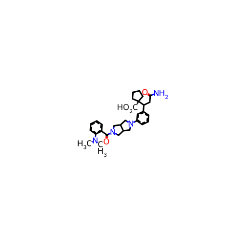 CN(C)c1ccccc1C(=O)N1CC2CN(c3cccc(C(CC(N)=O)C4(C(=O)O)CCCC4)c3)CC2C1